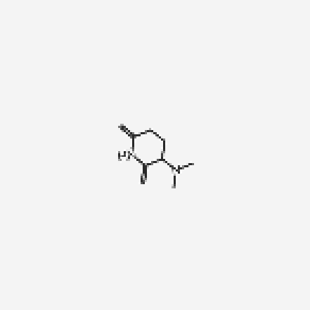 C=C1CCC(N(C)C)C(=C)N1